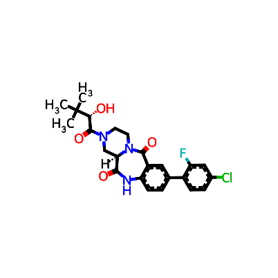 CC(C)(C)[C@H](O)C(=O)N1CCN2C(=O)c3cc(-c4ccc(Cl)cc4F)ccc3NC(=O)[C@H]2C1